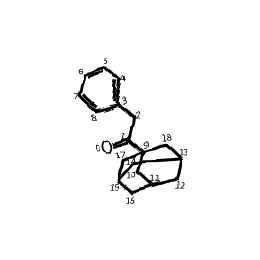 O=C(Cc1ccccc1)C12CC3CC(CC(C3)C1)C2